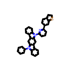 c1ccc(-n2c3ccccc3c3cc4c(cc32)c2ccccc2n4-c2cccc(-c3ccc4ccsc4c3)n2)cc1